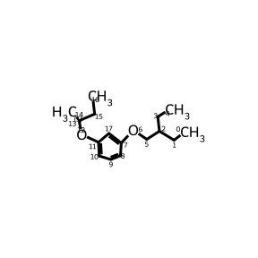 CCC(CC)COc1cccc(O[C@@H](C)CC)c1